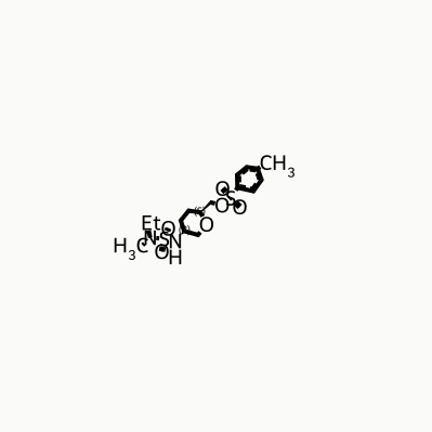 CCN(C)S(=O)(=O)N[C@@H]1CC[C@@H](COS(=O)(=O)c2ccc(C)cc2)OC1